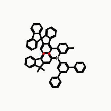 Cc1ccc(-c2cccc3c2-c2ccccc2C32c3ccccc3-c3ccccc32)c(N(c2cc(-c3ccccc3)cc(-c3ccccc3)c2)c2ccc3c(c2)C(C)(C)c2ccccc2-3)c1